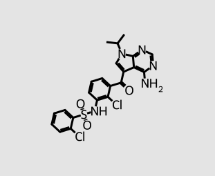 CC(C)n1cc(C(=O)c2cccc(NS(=O)(=O)c3ccccc3Cl)c2Cl)c2c(N)ncnc21